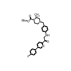 C[C@H]1CN(Cc2ccc(NCC(=O)c3ccc(-c4ccc(F)cc4)cn3)cc2)CCN1C(=O)OC(C)(C)C